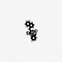 O=C(O)C(Cc1cccc2ccccc12)CP(=O)(O)Cc1ccccc1